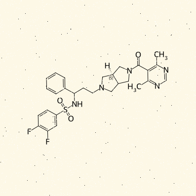 Cc1ncnc(C)c1C(=O)N1CC2CN(CCC(NS(=O)(=O)c3ccc(F)c(F)c3)c3ccccc3)C[C@H]2C1